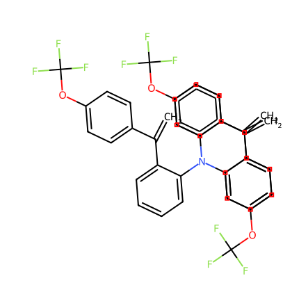 C=C(c1ccc(OC(F)(F)F)cc1)c1ccccc1N(c1ccccc1C(=C)c1ccc(OC(F)(F)F)cc1)c1ccccc1C(=C)c1ccc(OC(F)(F)F)cc1